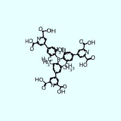 Cc1cc(-c2cc(C(=O)O)nc(C(=O)O)c2)cc(C)c1B(c1c(C)cc(-c2cc(C(=O)O)nc(C(=O)O)c2)cc1C)c1c(C)cc(-c2cc(C(=O)O)nc(C(=O)O)c2)cc1C